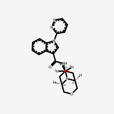 [2H]C([2H])([2H])N1[C@@H]2COC[C@H]1C[C@@H](NC(=O)c1cn(-c3cccnn3)c3ccccc13)C2